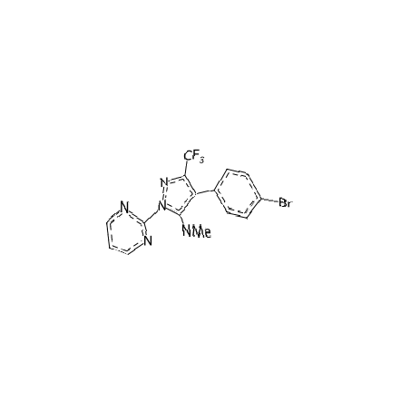 CNc1c(-c2ccc(Br)cc2)c(C(F)(F)F)nn1-c1ncccn1